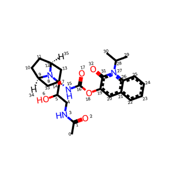 CC(=O)NCC(O)CN1[C@@H]2CC[C@H]1C[C@H](NC(=O)Oc1cc3ccccc3n(C(C)C)c1=O)C2